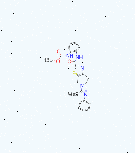 CS/C(=N\c1ccccc1)N1CCc2nc(C(=O)Nc3ccccc3NC(=O)OC(C)(C)C)sc2C1